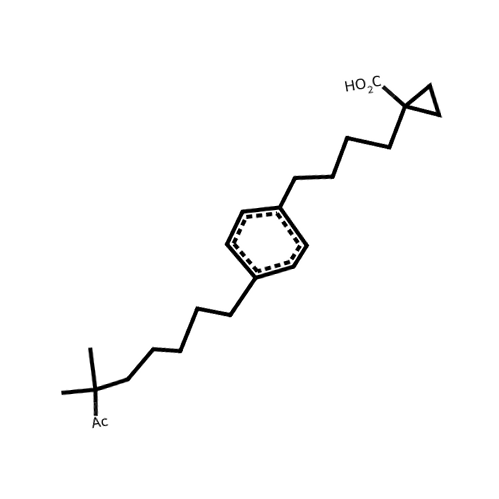 CC(=O)C(C)(C)CCCCCc1ccc(CCCCC2(C(=O)O)CC2)cc1